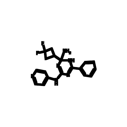 NC1(C2CC(F)(F)C2)N=C(Nc2ccncc2)N=C(c2ccccc2)N1